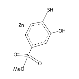 COS(=O)(=O)c1ccc(S)c(O)c1.[Zn]